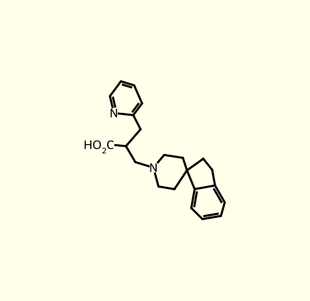 O=C(O)C(Cc1ccccn1)CN1CCC2(CCc3ccccc32)CC1